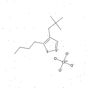 CCCCc1s[s+]cc1CC(C)(C)C.[O-][Cl+3]([O-])([O-])[O-]